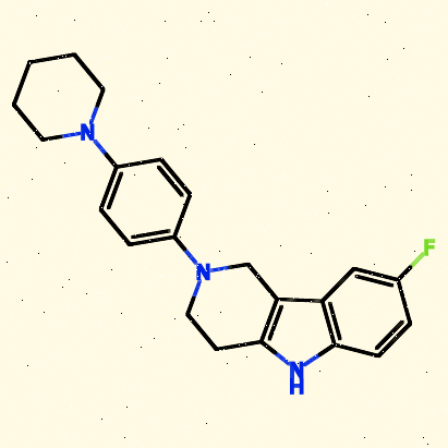 Fc1ccc2[nH]c3c(c2c1)CN(c1ccc(N2CCCCC2)cc1)CC3